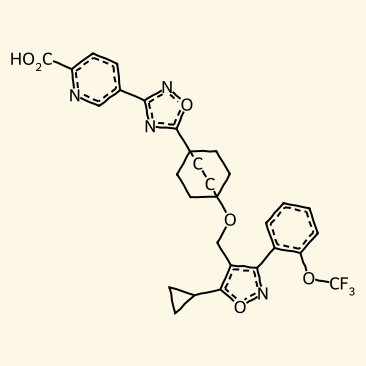 O=C(O)c1ccc(-c2noc(C34CCC(OCc5c(-c6ccccc6OC(F)(F)F)noc5C5CC5)(CC3)CC4)n2)cn1